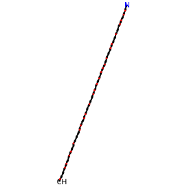 C#CC#CC#CC#CC#CC#CC#CC#CC#CC#CC#CC#CC#CC#CC#CC#CC#CC#CC#CC#CC#CC#CC#CC#CC#CC#CC#CC#CC#CC#CC#CC#CC#CC#CC#CC#CC#CC#CC#CC#CC#CC#CC#CC#CC#N